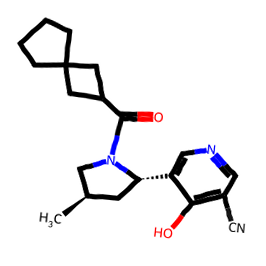 C[C@@H]1C[C@@H](c2cncc(C#N)c2O)N(C(=O)C2CC3(CCCC3)C2)C1